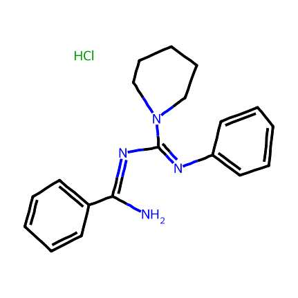 Cl.N/C(=N\C(=N\c1ccccc1)N1CCCCC1)c1ccccc1